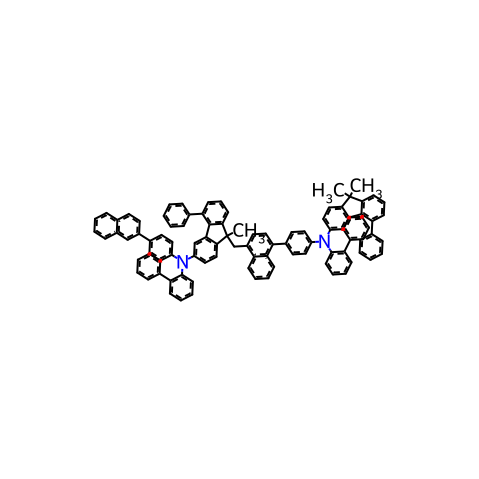 CC1(C)c2ccc(N(c3ccc(-c4ccc(CC5(C)c6ccc(N(c7ccc(-c8ccc9ccccc9c8)cc7)c7ccccc7-c7ccccc7)cc6-c6c(-c7ccccc7)cccc65)c5ccccc45)cc3)c3ccccc3-c3ccccc3)cc2-c2c(-c3ccccc3)cccc21